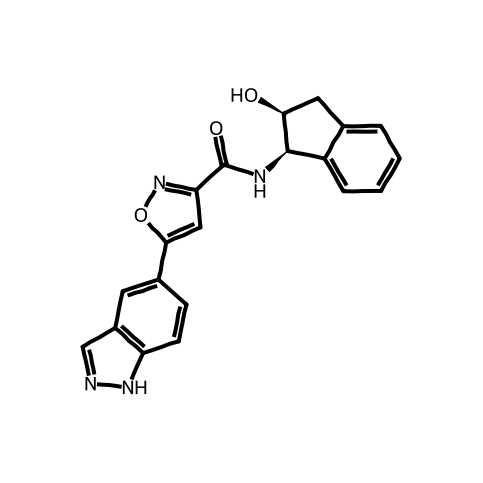 O=C(N[C@@H]1c2ccccc2C[C@@H]1O)c1cc(-c2ccc3[nH]ncc3c2)on1